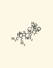 Cc1nnc2sc(C(=O)N3CCC(NS(=O)(=O)c4cccn4C)C3)c(N)c2c1C